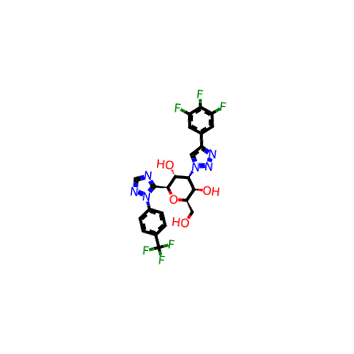 OC[C@H]1O[C@@H](c2ncnn2-c2ccc(C(F)(F)F)cc2)[C@H](O)[C@@H](n2cc(-c3cc(F)c(F)c(F)c3)nn2)[C@H]1O